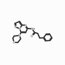 O=C(CCc1ccccc1)Nc1cc(N2CCOCC2)n2nccc2n1